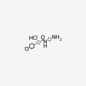 COc1ccc(C2CC(C(=O)N[C@H]3C[C@@H](N)C3)C2)cc1.Cl